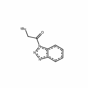 CC(C)(C)CC(=O)n1nnc2ccccc21